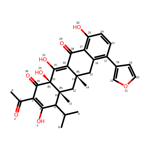 CC(=O)C1=C(O)C(C(C)C)[C@@]2(C)C[C@@]3(C)Cc4c(-c5ccoc5)ccc(O)c4C(=O)C3=C(O)[C@@]2(O)C1=O